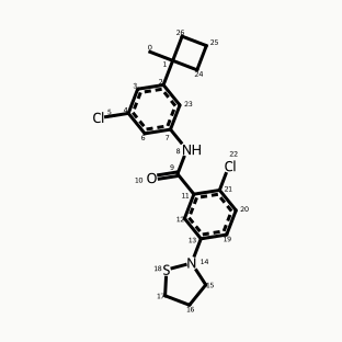 CC1(c2cc(Cl)cc(NC(=O)c3cc(N4CCCS4)ccc3Cl)c2)CCC1